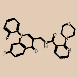 O=C(NCc1cn(-c2ccccc2F)c2cc(F)ccc2c1=O)c1cccnc1N1CCSCC1